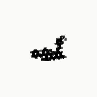 CC(=O)N[C@@H](Cc1cc(F)cc(OCc2ccc(C(F)(F)F)o2)c1)[C@H](O)[C@@H]1NCCN(Cc2ccccc2)C1=O